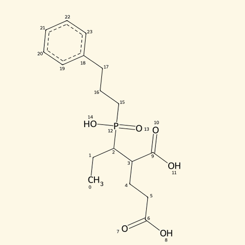 CCC(C(CCC(=O)O)C(=O)O)P(=O)(O)CCCc1ccccc1